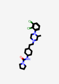 CC1CN(CCC2CCC(NC(=O)N3CCCC3)CC2)CCN1c1cccc(Cl)c1Cl